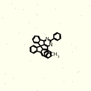 Cc1ccc2c(c1)C1(c3ccccc3-2)c2ccccc2-c2nc(-c3ccccc3)nc(-c3ccccc3)c21